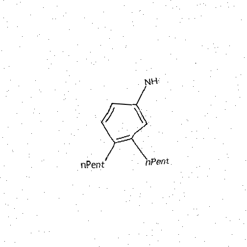 CCCCCc1ccc([NH])cc1CCCCC